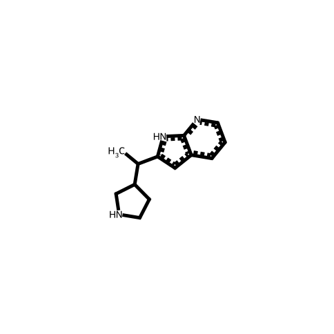 CC(c1cc2cccnc2[nH]1)C1CCNC1